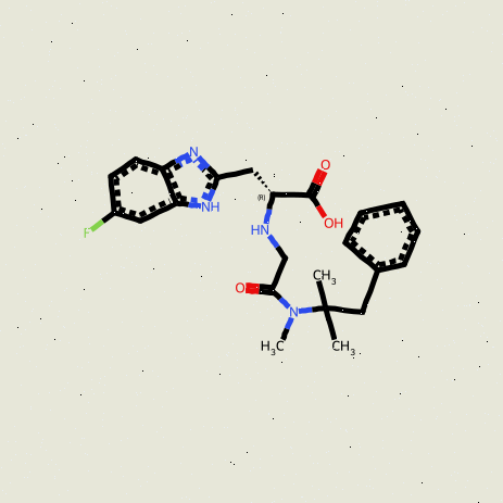 CN(C(=O)CN[C@H](Cc1nc2ccc(F)cc2[nH]1)C(=O)O)C(C)(C)Cc1ccccc1